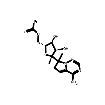 CC(C)C(=O)OC[C@H]1O[C@@](C)(C2(C)CC=C3C(N)=NC=NN32)[C@H](O)[C@@H]1O